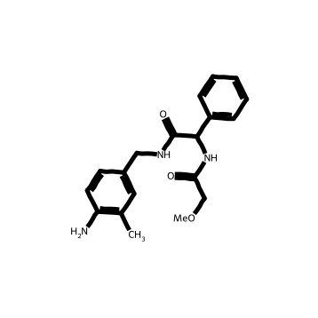 COCC(=O)NC(C(=O)NCc1ccc(N)c(C)c1)c1ccccc1